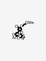 COCCCOc1cc2c(cc1Cl)-c1cc(=O)c(C(C)=O)cn1C(c1scnc1Cl)O2